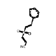 N#CC=CS(=O)(=O)C=Cc1ccccc1